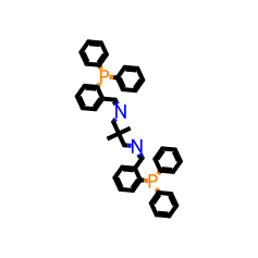 CC(C)(C/N=C\c1ccccc1P(c1ccccc1)c1ccccc1)C/N=C\c1ccccc1P(c1ccccc1)c1ccccc1